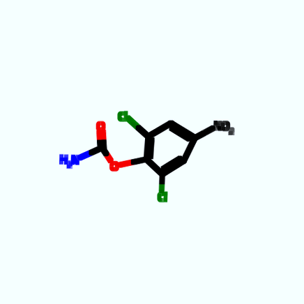 NC(=O)Oc1c(Cl)cc([N+](=O)[O-])cc1Cl